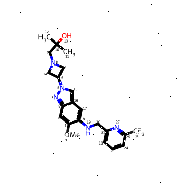 COc1cc2nn(C3CN(CC(C)(C)O)C3)cc2cc1NCc1cccc(C(F)(F)F)n1